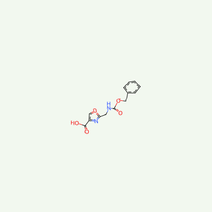 O=C(NCc1nc(C(=O)O)co1)OCc1ccccc1